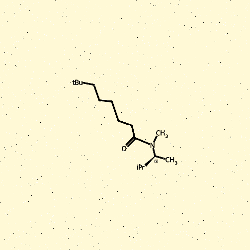 CC(C)[C@H](C)N(C)C(=O)CCCCCC(C)(C)C